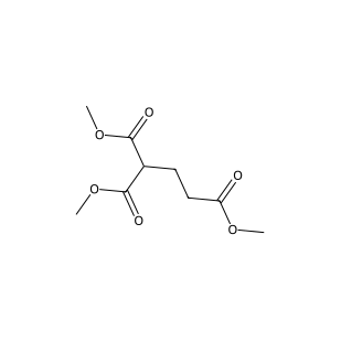 COC(=O)CCC(C(=O)OC)C(=O)OC